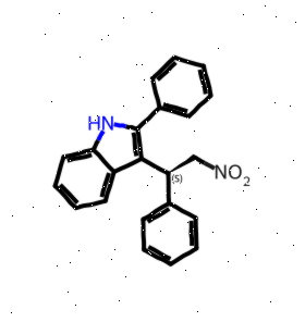 O=[N+]([O-])C[C@@H](c1ccccc1)c1c(-c2ccccc2)[nH]c2ccccc12